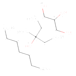 CCCCCCCCCCCCCCCC(=O)O.O=C(O)CC(O)(CC(=O)O)C(=O)O.OCC(O)CO